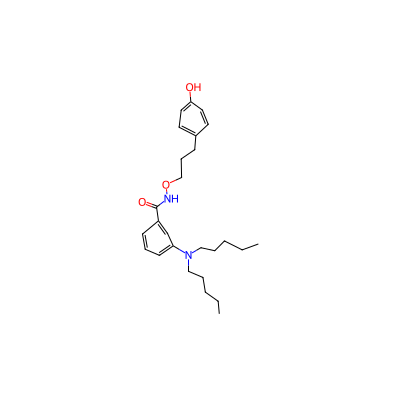 CCCCCN(CCCCC)c1cccc(C(=O)NOCCCc2ccc(O)cc2)c1